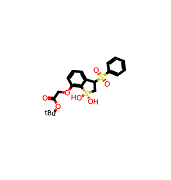 CC(C)(C)OC(=O)COc1cccc2c1S(O)(O)CC2S(=O)(=O)c1ccccc1